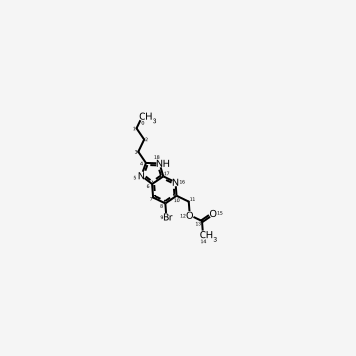 CCCCc1nc2cc(Br)c(COC(C)=O)nc2[nH]1